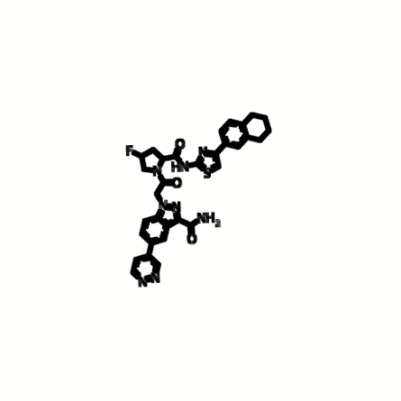 NC(=O)c1nn(CC(=O)N2CC(F)CC2C(=O)Nc2nc(-c3ccc4c(c3)CCCC4)cs2)c2ccc(-c3ccnnc3)cc12